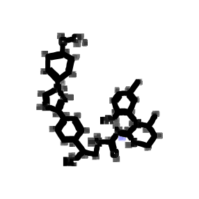 CCCc1ccc(C)cc1N1/C(=N/C(=O)NCC(C#N)c2ccc(-c3ncn(-c4ccc(OC(F)(F)F)cc4)n3)cc2)SCCC1C